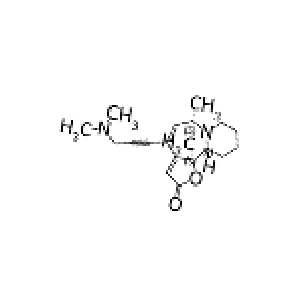 C[C@H]1C=C(C#CCN(C)C)C2=CC(=O)O[C@]2(C)[C@H]2CCCCN12